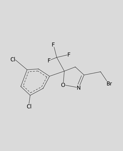 FC(F)(F)C1(c2cc(Cl)cc(Cl)c2)CC(CBr)=NO1